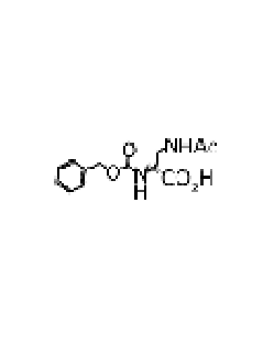 CC(=O)NC[C@@H](NC(=O)OCc1ccccc1)C(=O)O